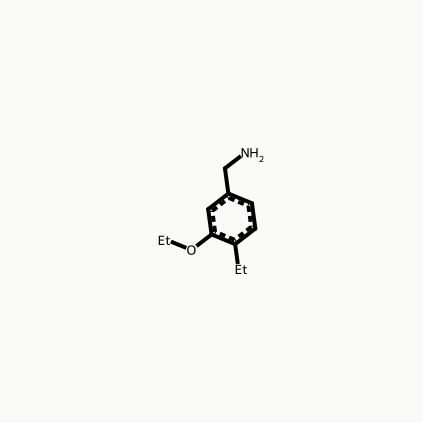 CCOc1cc(CN)ccc1CC